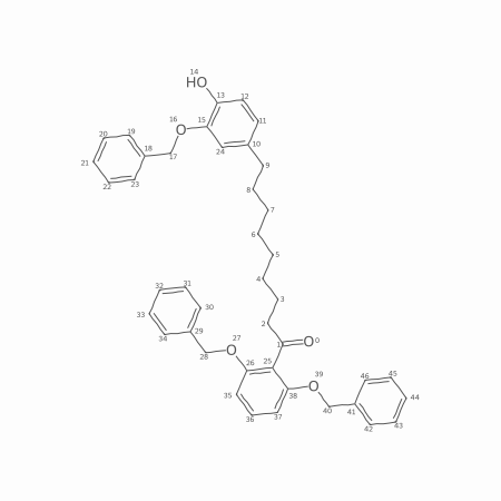 O=C(CCCCCCCCc1ccc(O)c(OCc2ccccc2)c1)c1c(OCc2ccccc2)cccc1OCc1ccccc1